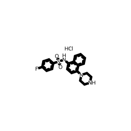 Cl.O=S(=O)(Nc1ccc(N2CCNCC2)c2ccccc12)c1ccc(F)cc1